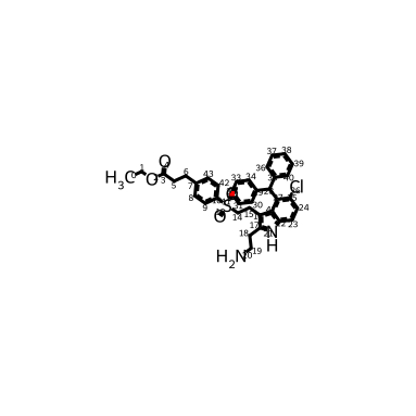 CCOC(=O)CCc1ccc(S(=O)(=O)CCc2c(CCN)[nH]c3ccc(Cl)c(C(c4ccccc4)c4ccccc4)c23)cc1